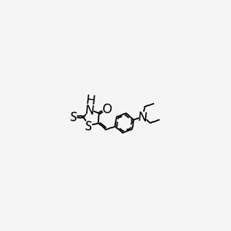 CCN(CC)c1ccc(C=C2SC(=S)NC2=O)cc1